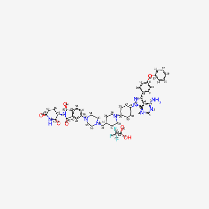 Nc1ncnc2c1c(-c1ccc(Oc3ccccc3)cc1)nn2C1CCC(N2CCC(CN3CCN(c4ccc5c(c4)C(=O)N(C4CCC(=O)NC4=O)C5=O)CC3)CC2)CC1.O=C(O)C(F)(F)F